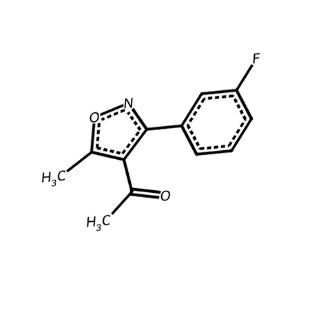 CC(=O)c1c(-c2cccc(F)c2)noc1C